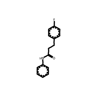 O=C(CCc1ccc(F)cc1)Nc1ccccc1